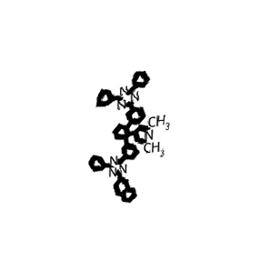 Cc1cc(-c2c(-c3cccc(-c4nc(-c5ccccc5)nc(-c5ccccc5)n4)c3)cccc2-c2cccc(-c3nc(-c4ccccc4)nc(-c4ccc5ccccc5c4)n3)c2)cc(C)n1